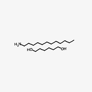 CCCCCCCCCCCCN.OCCCCCCO